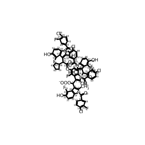 CC1=C(C(C(=O)[O-])c2c(C)n(C(=O)c3ccc(Cl)c(F)c3)c3ccc(O)c(F)c23)c2c(ccc(OC(=O)C(c3c(C)n(C(=O)c4ccc(Cl)c(F)c4)c4ccc(O)c(F)c34)C3CCCC3)c2F)[N+]1(C(=O)c1ccc(Cl)c(F)c1)C(C(N)=O)c1c(C)n(C(=O)c2ccc(Cl)c(F)c2)c2ccc(O)c(F)c12